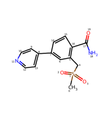 CS(=O)(=O)Cc1cc(-c2ccncc2)ccc1C(N)=O